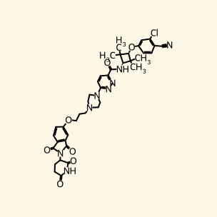 CC1(C)[C@H](NC(=O)c2ccc(N3CCN(CCCOc4ccc5c(c4)C(=O)N(C4CCC(=O)NC4=O)C5=O)CC3)nn2)C(C)(C)[C@H]1Oc1ccc(C#N)c(Cl)c1